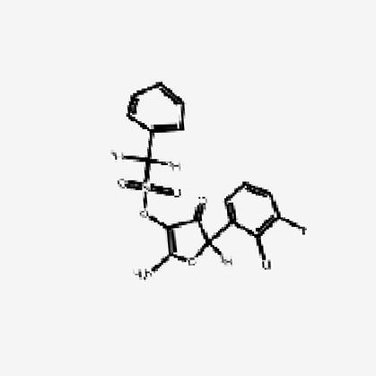 [2H]C1(c2cccc(F)c2Cl)OC(N)=C(OS(=O)(=O)C([2H])([2H])c2ccccc2)C1=O